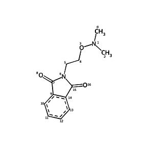 CN(C)OCCN1C(=O)c2ccccc2C1=O